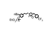 CCCCc1cc(CCC[C@H]2CN(Cc3ccc(C(F)(F)F)cc3)C(=O)N2C)ccc1OC(C)(C)C(=O)OCC